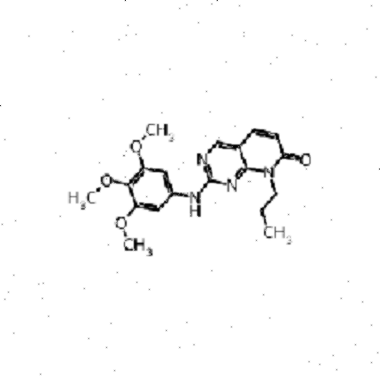 CCCn1c(=O)ccc2cnc(Nc3cc(OC)c(OC)c(OC)c3)nc21